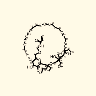 C=CC(=O)NCOCC1OC2C(O)C(O)C1OCCCCCCCCCCCCCCCCCCCCCC(S)(CC)C1OC(CO)C(OC2(CC)CCC)C(O)C1O